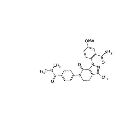 COc1ccc(-n2nc(C(F)(F)F)c3c2C(=O)N(c2ccc(C(=O)N(C)C)cc2)CC3)c(C(N)=O)c1